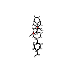 CCOC(=O)N1C2CCC1CC(N1CCN(c3ncc(CC)cn3)CC1)C2